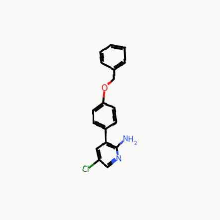 Nc1ncc(Cl)cc1-c1ccc(OCc2ccccc2)cc1